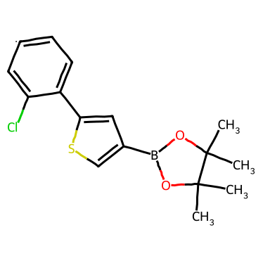 CC1(C)OB(c2csc(-c3cc[c]cc3Cl)c2)OC1(C)C